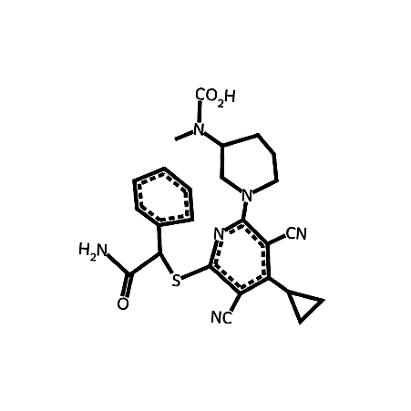 CN(C(=O)O)C1CCCN(c2nc(SC(C(N)=O)c3ccccc3)c(C#N)c(C3CC3)c2C#N)C1